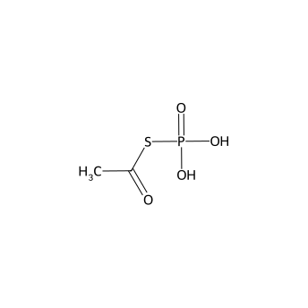 CC(=O)SP(=O)(O)O